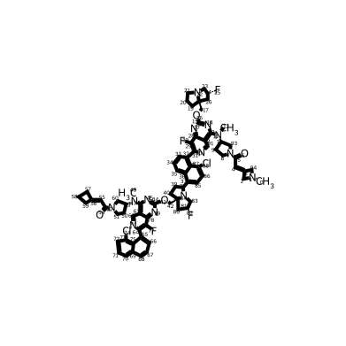 CN1CC(=CC(=O)N2CC[C@@H](N(C)c3nc(OC[C@@]45CCCN4C[C@H](F)C5)nc4c(F)c(-c5cccc6c(C7CC[C@@]8(COc9nc(N(C)[C@@H]%10CCN(C(=O)C=C%11CCC%11)C%10)c%10cnc(-c%11cccc%12cccc(Cl)c%11%12)c(F)c%10n9)C[C@@H](F)CN78)ccc(Cl)c56)ncc34)C2)C1